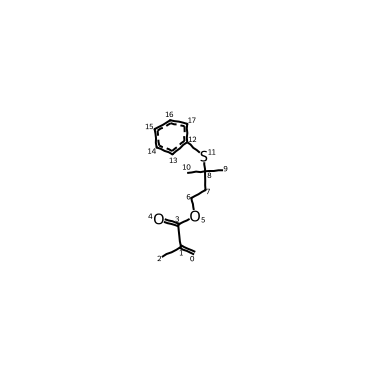 C=C(C)C(=O)OCCC(C)(C)Sc1ccccc1